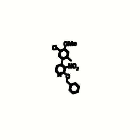 COc1cc(C)c(-c2ccnc(OCc3ccccc3)c2[N+](=O)[O-])cc1Cl